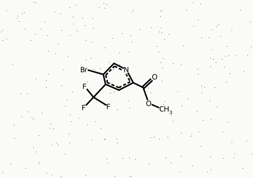 COC(=O)c1cc(C(F)(F)F)c(Br)cn1